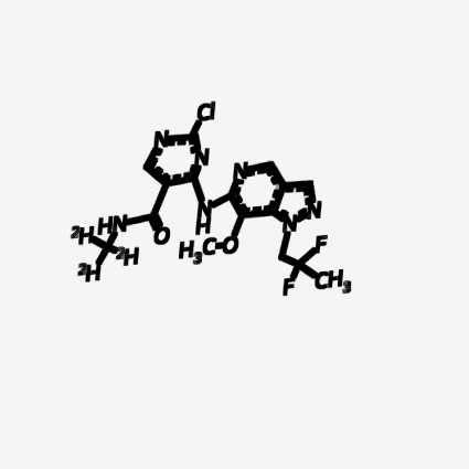 [2H]C([2H])([2H])NC(=O)c1cnc(Cl)nc1Nc1ncc2cnn(CC(C)(F)F)c2c1OC